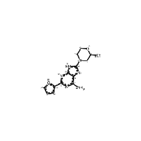 CCC1CN(c2nc3c(N)nc(-c4ccco4)nc3[nH]2)CCO1